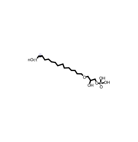 CCCCCCCC/C=C\CCCCCCCCCCCCOCC(O)COP(=O)(O)O